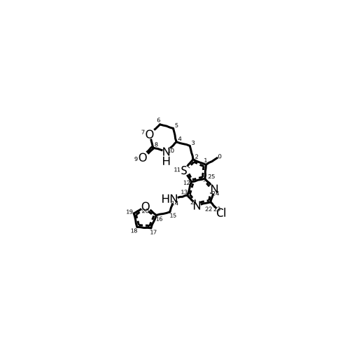 Cc1c(CC2CCOC(=O)N2)sc2c(NCc3ccco3)nc(Cl)nc12